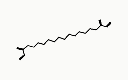 C=CC(=C)CCCCCCCCCCCCCCC(=C)C=C